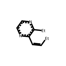 CC/C=C\c1nccnc1CC